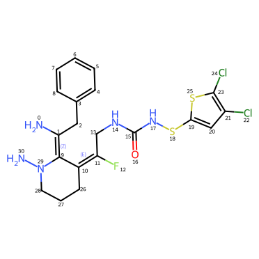 N/C(Cc1ccccc1)=C1/C(=C(/F)CNC(=O)NSc2cc(Cl)c(Cl)s2)CCCN1N